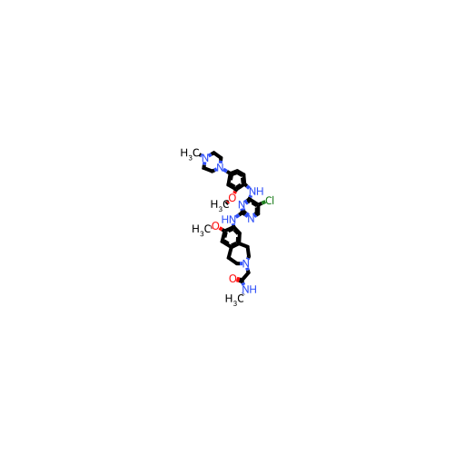 CNC(=O)CN1CCc2cc(Nc3ncc(Cl)c(Nc4ccc(N5CCN(C)CC5)cc4OC)n3)c(OC)cc2CC1